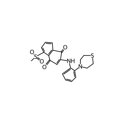 CS(=O)(=O)c1cccc2c1C(=O)C=C(Nc1ccccc1N1CCSCC1)C2=O